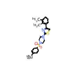 Cc1cccc(-c2csc(N3CCN(S(=O)(=O)c4ccc(C(C)(C)C)cc4)CC3)n2)c1C